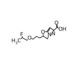 CC(F)COCCCC1Cn2nc(C(=O)O)cc2O1